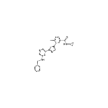 Cc1ccc(C(=O)NC2CC2)cc1-c1cnn(-c2cncc(NCc3ccccc3)c2)c1